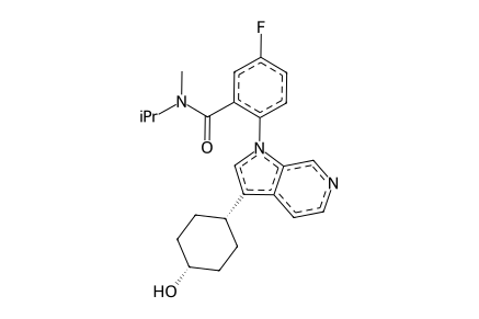 CC(C)N(C)C(=O)c1cc(F)ccc1-n1cc([C@H]2CC[C@@H](O)CC2)c2ccncc21